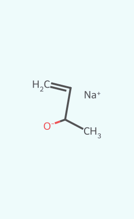 C=CC(C)[O-].[Na+]